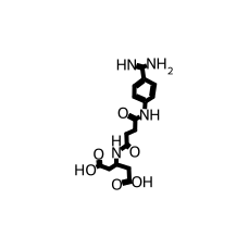 N=C(N)c1ccc(NC(=O)CCC(=O)NC(CC(=O)O)CC(=O)O)cc1